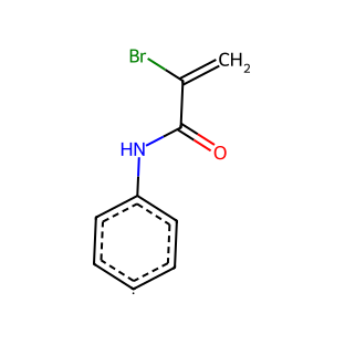 C=C(Br)C(=O)Nc1cc[c]cc1